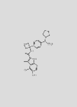 COc1ccc2[nH]c(C(=O)NC3(c4ccc([C@@H](C(=O)O)C5CCCC5)cc4)COC3)c(C)c2c1Cl